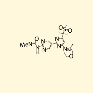 CNC(=O)Nc1ncc(-c2nc(N3CCOC[C@@H]3C)cc(C(C)(C)S(C)(=O)=O)n2)cn1